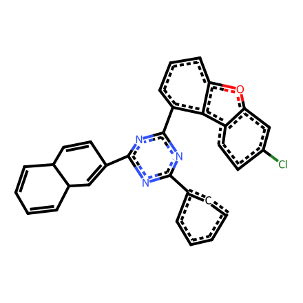 Clc1ccc2c(c1)oc1cccc(-c3nc(C4=CC5C=CC=CC5C=C4)nc(-c4ccccc4)n3)c12